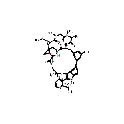 CCn1c(-c2cccnc2[C@H](C)OC)c2c3cc(ccc31)-c1cc(O)cc(c1)C[C@H](NC(=O)[C@H](C(C)C)N(C)C(=O)CN(C)C(=O)[C@H]1[C@@H](C3CC3)N1SC(C)(C)C)C(=O)N1CCC[C@H](N1)C(=O)OCC(C)(C)C2